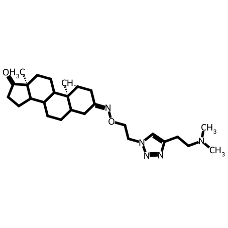 CN(C)CCc1cn(CCON=C2CC[C@@]3(C)C(CCC4C3CC[C@]3(C)C(=O)CCC43)C2)nn1